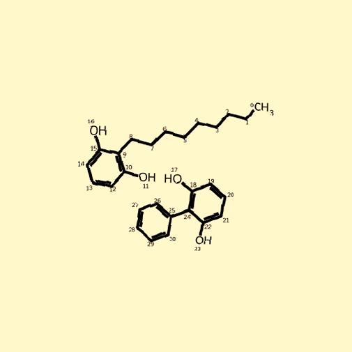 CCCCCCCCCc1c(O)cccc1O.Oc1cccc(O)c1-c1ccccc1